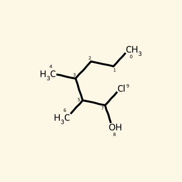 CCCC(C)C(C)C(O)Cl